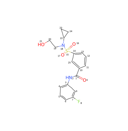 O=C(Nc1cccc(F)c1)c1cccc(S(=O)(=O)N(CCO)C2CC2)c1